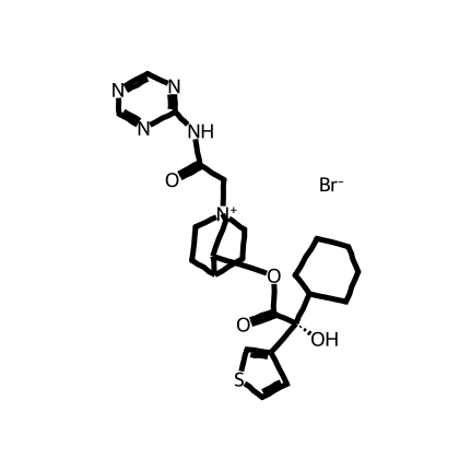 O=C(C[N+]12CCC(CC1)C(OC(=O)[C@](O)(c1ccsc1)C1CCCCC1)C2)Nc1ncncn1.[Br-]